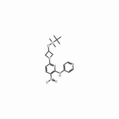 CC(C)(C)[Si](C)(C)OC1CN(c2ccc([N+](=O)[O-])c(Nc3ccncc3)n2)C1